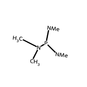 CNP(NC)N(C)C